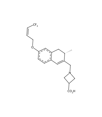 C[C@H]1Cc2cc(OC/C=C\C(F)(F)F)ccc2C=C1CN1CC(C(=O)O)C1